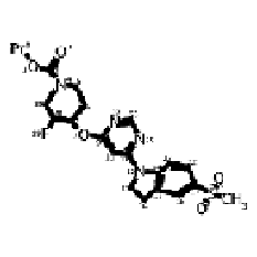 CC(C)OC(=O)N1CCC(Oc2cc(N3CCc4cc(S(C)(=O)=O)ccc43)ncn2)C(F)C1